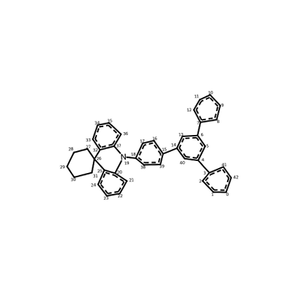 c1ccc(-c2cc(-c3ccccc3)cc(-c3ccc(N4c5ccccc5C5(CCCCC5)c5ccccc54)cc3)c2)cc1